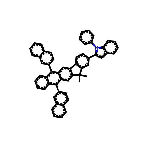 CC1(C)c2cc(-c3cc4ccccc4n3-c3ccccc3)ccc2-c2cc3c(-c4ccc5ccccc5c4)c4ccccc4c(-c4ccc5ccccc5c4)c3cc21